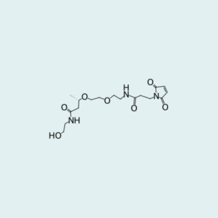 C[C@@H](CC(=O)NCCO)OCCOCCNC(=O)CCN1C(=O)C=CC1=O